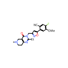 CCc1nc2c(c(=O)n1Cc1cc(-c3cc(OC)c(F)cc3C#N)on1)CN(C)CC2